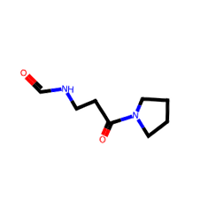 O=CNCCC(=O)N1CCCC1